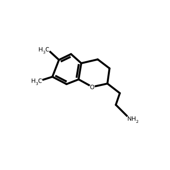 Cc1cc2c(cc1C)OC(CCN)CC2